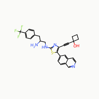 NC(CNc1nc(C#CC2(O)CCC2)c(-c2ccc3cnccc3c2)s1)Cc1ccc(C(F)(F)F)cc1